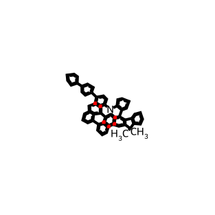 CC1(C)c2ccccc2-c2c(-c3ccccc3N(c3ccc(-c4ccc(-c5ccccc5)cc4)cc3)c3ccccc3-c3cccc4cccc(-c5ccccc5)c34)cccc21